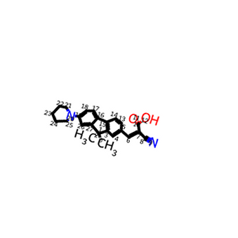 CC1(C)c2cc(/C=C(/C#N)C(=O)O)ccc2-c2ccc(N3CCCCC3)cc21